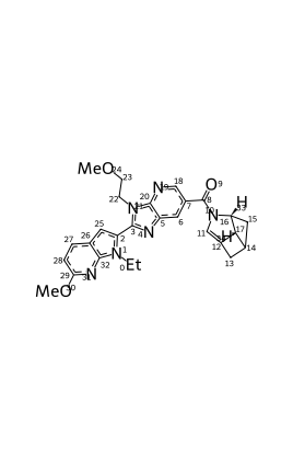 CCn1c(-c2nc3cc(C(=O)N4C=C5CC6C[C@@H]4[C@@H]56)cnc3n2CCOC)cc2ccc(OC)nc21